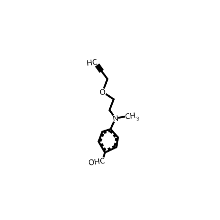 C#CCOCCN(C)c1ccc(C=O)cc1